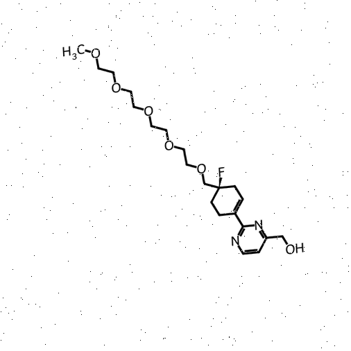 COCCOCCOCCOCCOC[C@]1(F)CC=C(c2nccc(CO)n2)CC1